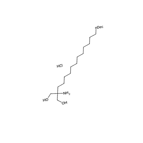 CCCCCCCCCCCCCCCCCCCCCCC(N)(CO)CO.Cl